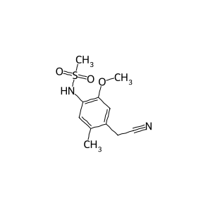 COc1cc(CC#N)c(C)cc1NS(C)(=O)=O